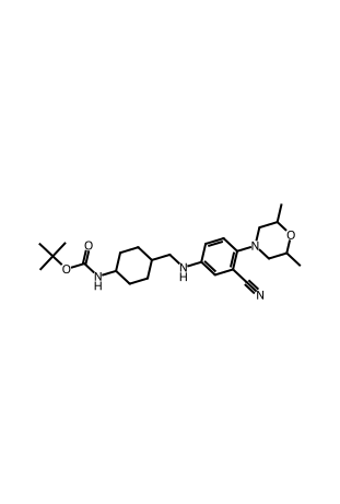 CC1CN(c2ccc(NCC3CCC(NC(=O)OC(C)(C)C)CC3)cc2C#N)CC(C)O1